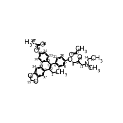 CCC(=C(c1ccc(OCC(CN(C)CC)OC(C)=O)cc1)c1ccc(OC(C)=O)cc1)c1ccc2c(c1)OCO2